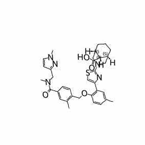 Cc1ccc(OCc2ccc(C(=O)N(C)Cc3ccn(C)n3)cc2C)c(-c2csc(N3C[C@H]4CCC[C@@H](C3)[C@H]4C(=O)O)n2)c1